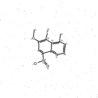 COc1cc([N+](=O)[O-])c2nccc(C)c2c1F